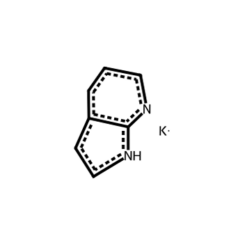 [K].c1cnc2[nH]ccc2c1